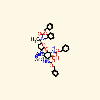 CC(=O)O[C@H]1[C@H](OC2O[C@H](C(C)N(Cc3ccccc3)C(=O)OCc3ccccc3)CC[C@H]2N=[N+]=[N-])[C@@H](NC(=O)OCc2ccccc2)[C@H](O)[C@@H](NC(=O)OCc2ccccc2)[C@@H]1OC(C)=O